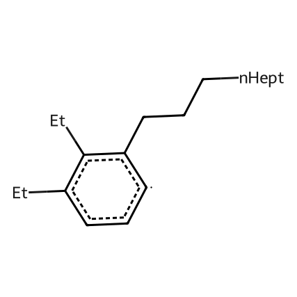 CCCCCCCCCCc1[c]ccc(CC)c1CC